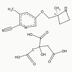 Cc1cc(OC[C@]2(C)CCN2)cnc1C#N.O=C(O)CC(O)(CC(=O)O)C(=O)O